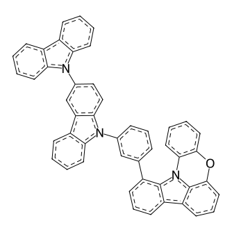 c1cc(-c2cccc3c4cccc5c4n(c23)-c2ccccc2O5)cc(-n2c3ccccc3c3cc(-n4c5ccccc5c5ccccc54)ccc32)c1